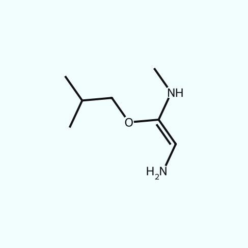 CN/C(=C/N)OCC(C)C